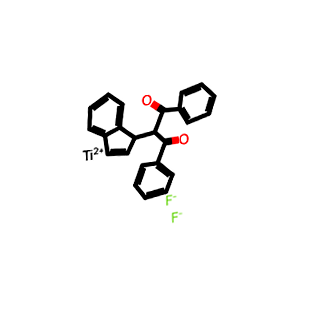 O=C(c1ccccc1)C(C(=O)c1ccccc1)C1C=Cc2ccccc21.[F-].[F-].[Ti+2]